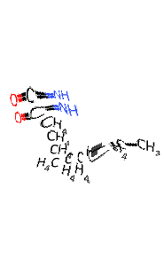 C.C.C.C.C.C.C.CC.N=C=O.N=C=O